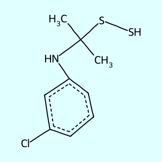 CC(C)(Nc1cccc(Cl)c1)SS